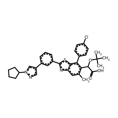 Cc1cc2nc(-c3cccc(-c4cnn(C5CCCC5)c4)c3)sc2c(-c2ccc(Cl)cc2)c1C(OC(C)(C)C)C(=O)O